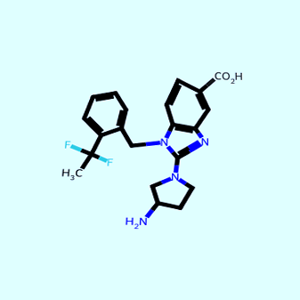 CC(F)(F)c1ccccc1Cn1c(N2CCC(N)C2)nc2cc(C(=O)O)ccc21